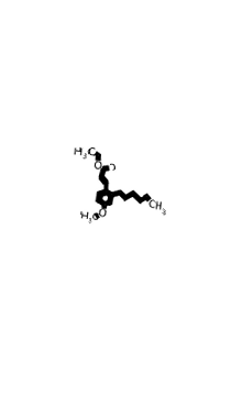 CCCCCCc1cc(OC)ccc1C=CC(=O)OCC